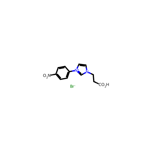 O=C(O)CCn1cc[n+](-c2ccc([N+](=O)[O-])cc2)c1.[Br-]